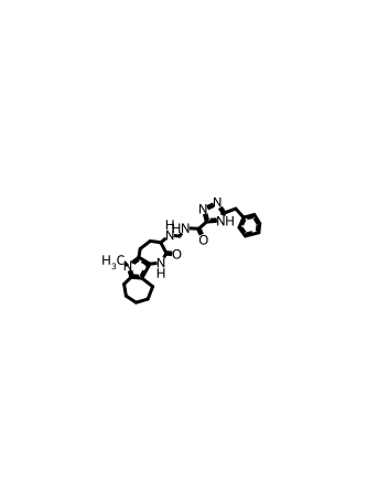 Cn1c2c(c3c1CCC(NCNC(=O)c1nnc(Cc4ccccc4)[nH]1)C(=O)N3)CCCCC2